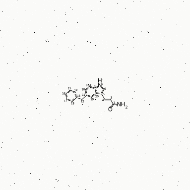 NC(=O)C=Cc1c[nH]c2ncc(Cc3ccccc3)cc12